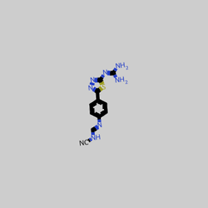 N#CN/C=N/c1ccc(-c2nnc(N=C(N)N)s2)cc1